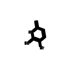 C=C1C=CC(C(C)C)=C(S)N1